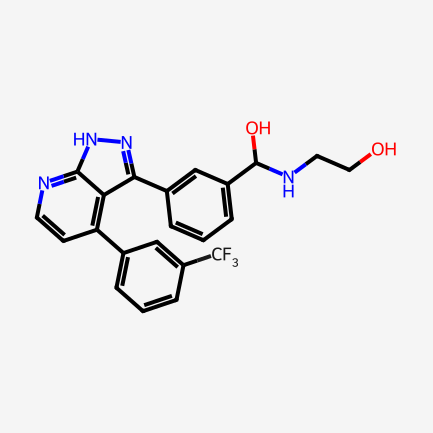 OCCNC(O)c1cccc(-c2n[nH]c3nccc(-c4cccc(C(F)(F)F)c4)c23)c1